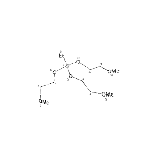 [CH2]C[Si](OCCOC)(OCCOC)OCCOC